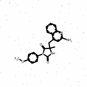 CC1(Cc2cc(N)nc3ccccc23)NC(=O)N(c2ccc(OC(F)(F)F)cc2)C1=O